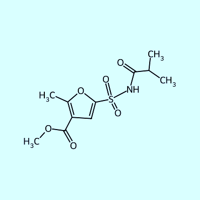 COC(=O)c1cc(S(=O)(=O)NC(=O)C(C)C)oc1C